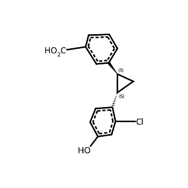 O=C(O)c1cccc([C@H]2C[C@@H]2c2ccc(O)cc2Cl)c1